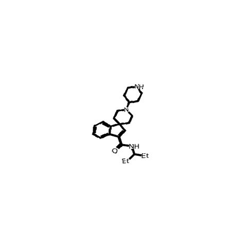 CCC(CC)NC(=O)C1=CC2(CCN(C3CCNCC3)CC2)c2ccccc21